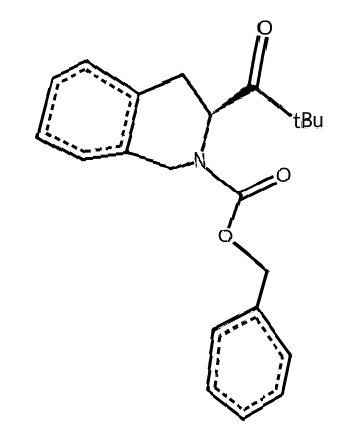 CC(C)(C)C(=O)[C@@H]1Cc2ccccc2CN1C(=O)OCc1ccccc1